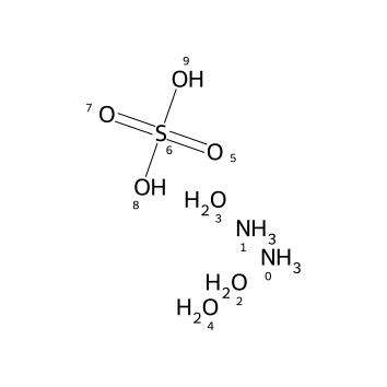 N.N.O.O.O.O=S(=O)(O)O